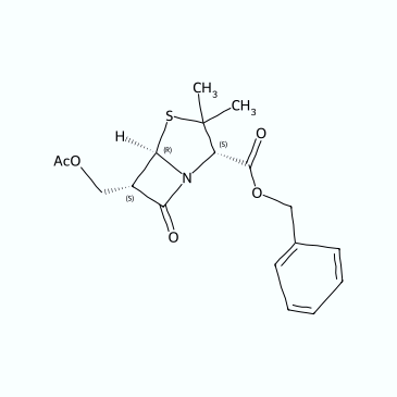 CC(=O)OC[C@H]1C(=O)N2[C@@H]1SC(C)(C)[C@@H]2C(=O)OCc1ccccc1